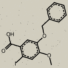 COc1cc(I)c(C(=O)O)cc1OCc1ccccc1